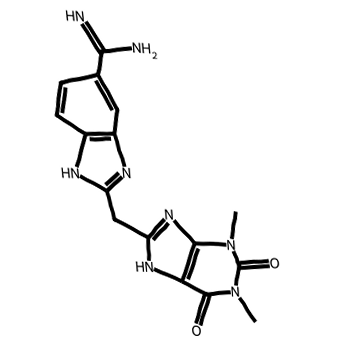 Cn1c(=O)c2[nH]c(Cc3nc4cc(C(=N)N)ccc4[nH]3)nc2n(C)c1=O